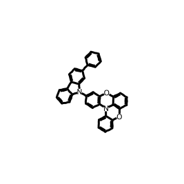 c1ccc(-c2ccc3c4ccccc4n(-c4ccc5c(c4)Oc4cccc6c4N5c4ccccc4O6)c3c2)cc1